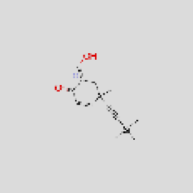 CC1(C#C[Si](C)(C)C)C=CC(=O)/C(=C/O)C1